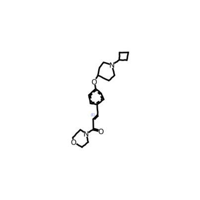 O=C(/C=C/c1ccc(OC2CCN(C3CCC3)CC2)cc1)N1CCOCC1